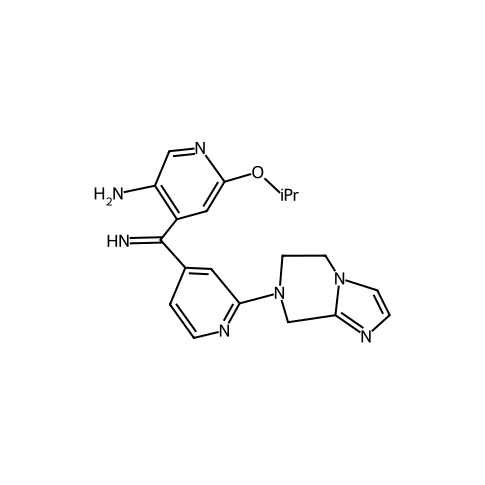 CC(C)Oc1cc(C(=N)c2ccnc(N3CCn4ccnc4C3)c2)c(N)cn1